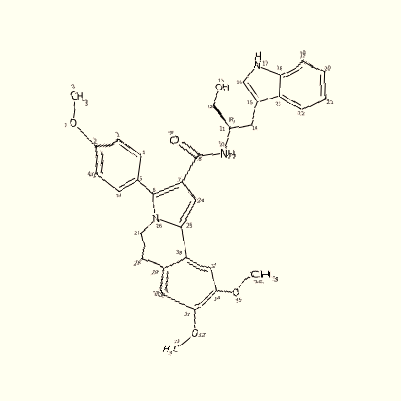 COc1ccc(-c2c(C(=O)N[C@@H](CO)Cc3c[nH]c4ccccc34)cc3n2CCc2cc(OC)c(OC)cc2-3)cc1